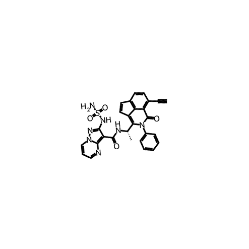 C#Cc1ccc2c3c(c([C@H](C)NC(=O)c4c(NS(N)(=O)=O)nn5cccnc45)n(-c4ccccc4)c(=O)c13)C=C2